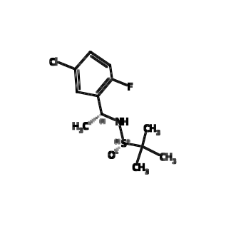 C[C@@H](N[S@@+]([O-])C(C)(C)C)c1cc(Cl)ccc1F